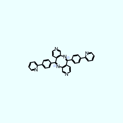 c1ccc(-c2ccc(/C3=N/c4cnccc4/C(c4ccc(-c5ccccn5)cc4)=N\c4cnccc43)cc2)nc1